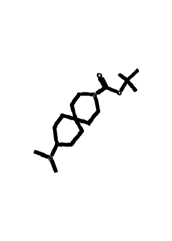 CN(C)C1CCC2(CC1)CCN(C(=O)OC(C)(C)C)CC2